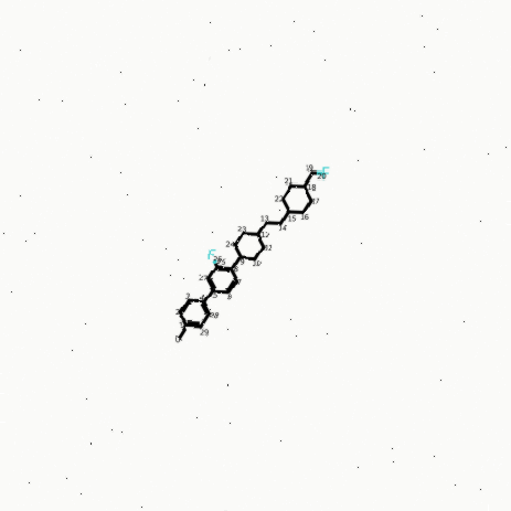 Cc1ccc(-c2ccc(C3CCC(CCC4CCC(CF)CC4)CC3)c(F)c2)cc1